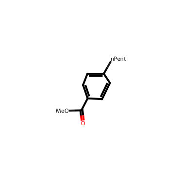 [CH2]CCCCc1ccc(C(=O)OC)cc1